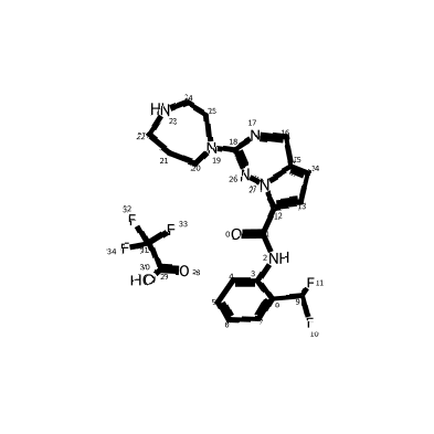 O=C(Nc1ccccc1C(F)F)c1ccc2cnc(N3CCCNCC3)nn12.O=C(O)C(F)(F)F